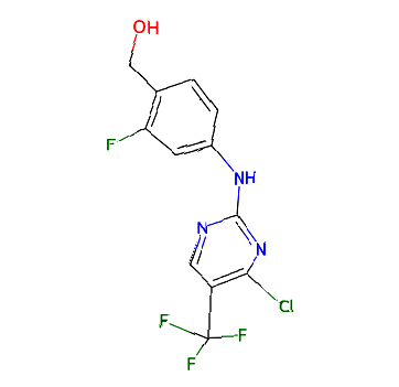 OCc1ccc(Nc2ncc(C(F)(F)F)c(Cl)n2)cc1F